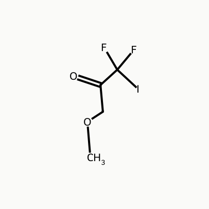 COCC(=O)C(F)(F)I